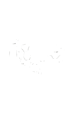 C[C@]1(OC(N)=O)CCCC[C@@H]1n1cnc(C(=O)N2CCNCC2CCOc2cc(C(F)(F)F)cc(C(F)(F)F)c2)c1-c1ccccc1